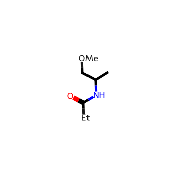 CCC(=O)NC(C)COC